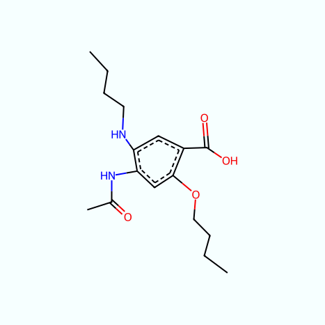 CCCCNc1cc(C(=O)O)c(OCCCC)cc1NC(C)=O